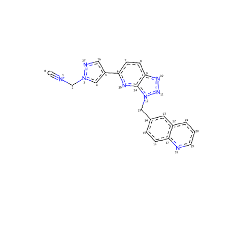 [C-]#[N+]Cn1cc(-c2ccc3nnn(Cc4ccc5ncccc5c4)c3n2)cn1